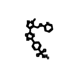 Cn1ncc(-c2nc(-c3ccc(S(N)(=O)=O)cc3)no2)c1COc1ccccn1